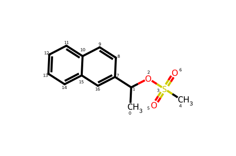 CC(OS(C)(=O)=O)c1ccc2ccccc2c1